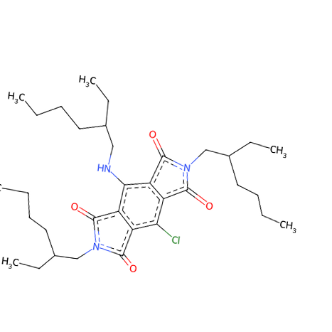 CCCCC(CC)CNc1c2c(=O)n(CC(CC)CCCC)c(=O)c2c(Cl)c2c(=O)n(CC(CC)CCCC)c(=O)c12